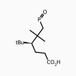 CC(C)(C)[C@H](CCC(=O)O)C(C)(C)CP=O